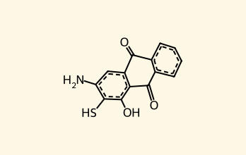 Nc1cc2c(c(O)c1S)C(=O)c1ccccc1C2=O